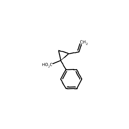 C=CC1CC1(C(=O)O)c1ccccc1